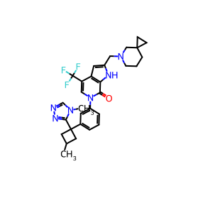 CC1CC(c2cccc(-n3cc(C(F)(F)F)c4cc(CN5CCCC6(CC6)C5)[nH]c4c3=O)c2)(c2nncn2C)C1